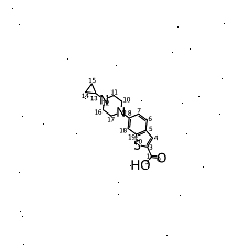 O=C(O)c1cc2ccc(N3CCN(C4CC4)CC3)cc2s1